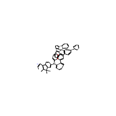 C/C=C\C1=C(C)C(C)(C)c2cc(N(c3ccc(-c4cccc5c4C4(c6ccccc6Sc6ccc(-c7ccccc7)cc64)c4ccccc4-5)cc3)c3ccccc3-c3ccccc3)ccc21